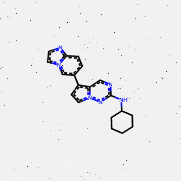 c1cn2cc(-c3ccn4nc(NC5CCCCC5)ncc34)ccc2n1